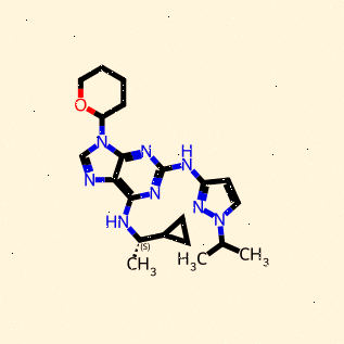 CC(C)n1ccc(Nc2nc(N[C@@H](C)C3CC3)c3ncn(C4CCCCO4)c3n2)n1